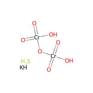 S.[KH].[O]=[Cr](=[O])([OH])[O][Cr](=[O])(=[O])[OH]